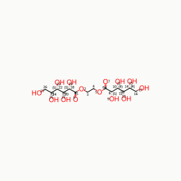 O=C(OCCOC(=O)[C@@H](O)[C@H](O)[C@@H](O)[C@H](O)CO)[C@@H](O)[C@H](O)[C@@H](O)[C@H](O)CO